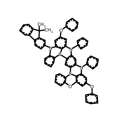 CC1(C)c2ccccc2-c2ccc(N3c4ccccc4B4c5cc6c(cc5N(c5ccccc5)c5cc(Oc7ccccc7)cc3c54)N(c3ccccc3)c3cc(Oc4ccccc4)cc4c3B6c3ccccc3O4)cc21